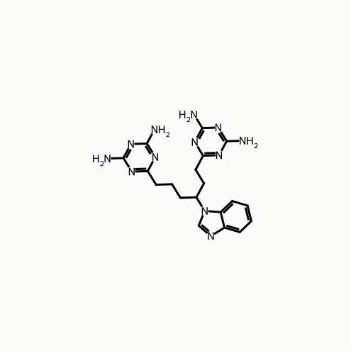 Nc1nc(N)nc(CCCC(CCc2nc(N)nc(N)n2)n2cnc3ccccc32)n1